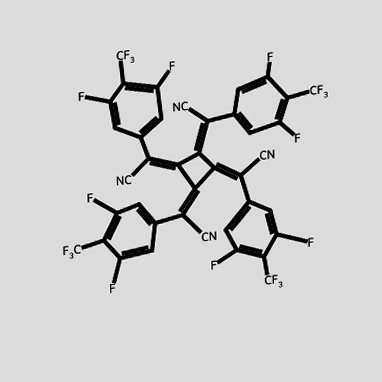 N#CC(=C1C(=C(C#N)c2cc(F)c(C(F)(F)F)c(F)c2)C(=C(C#N)c2cc(F)c(C(F)(F)F)c(F)c2)C1=C(C#N)c1cc(F)c(C(F)(F)F)c(F)c1)c1cc(F)c(C(F)(F)F)c(F)c1